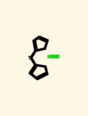 C1=CC[C]([Ti][C]2=CC=CC2)=C1.Cl.Cl